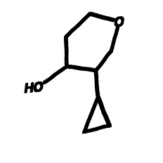 OC1CCOCC1C1CC1